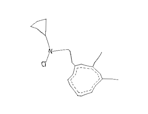 Cc1cccc(CN(Cl)C2CC2)c1C